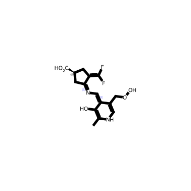 CC1=C(O)/C(=C\N=C2\C[C@@H](C(=O)O)CC2=C(F)F)C(COO)=CN1